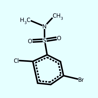 CN(C)S(=O)(=O)c1cc(Br)ccc1Cl